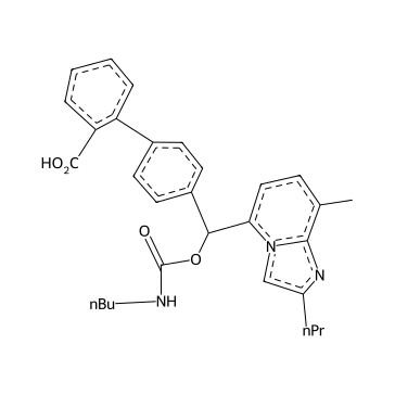 CCCCNC(=O)OC(c1ccc(-c2ccccc2C(=O)O)cc1)c1ccc(C)c2nc(CCC)cn12